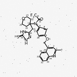 Cc1cc(COc2ccc(N(C(=O)C(F)(F)F)C3(Cc4n[nH]c(=S)[nH]4)CCOCC3)cc2)c2ccccc2n1